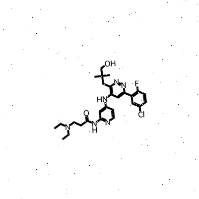 CCN(CC)CCC(=O)Nc1cc(Nc2cc(-c3cc(Cl)ccc3F)nnc2CC(C)(C)CO)ccn1